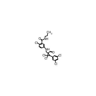 CCCNC(=O)c1cc(NCC2(C=O)C(c3cc(Cl)cc(Cl)c3)C2(Cl)Cl)ccc1Cl